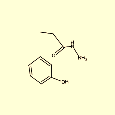 CCC(=O)NN.Oc1ccccc1